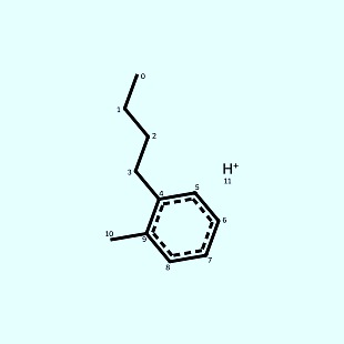 [CH2]CCCc1ccccc1C.[H+]